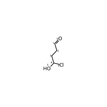 O=CCCC(O)Cl